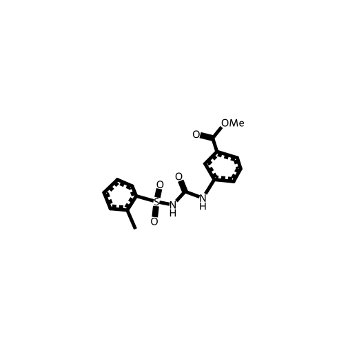 COC(=O)c1cccc(NC(=O)NS(=O)(=O)c2ccccc2C)c1